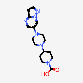 O=C(O)N1CCC(N2CCN(c3cnc4ccnn4c3)CC2)CC1